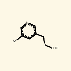 CC(=O)c1cncc(COC=O)c1